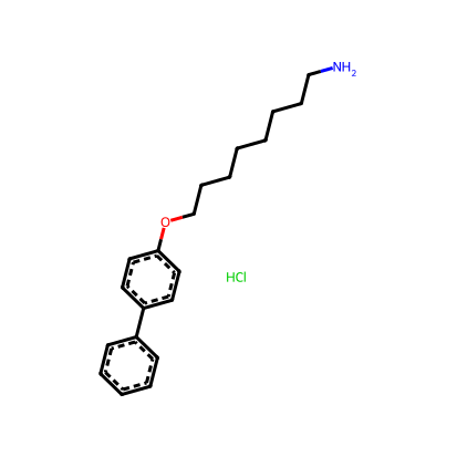 Cl.NCCCCCCCCOc1ccc(-c2ccccc2)cc1